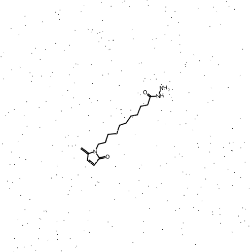 C=C1C=CC(=O)N1CCCCCCCCCCC(=O)NN